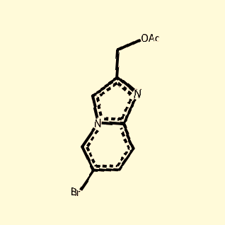 CC(=O)OCc1cn2cc(Br)ccc2n1